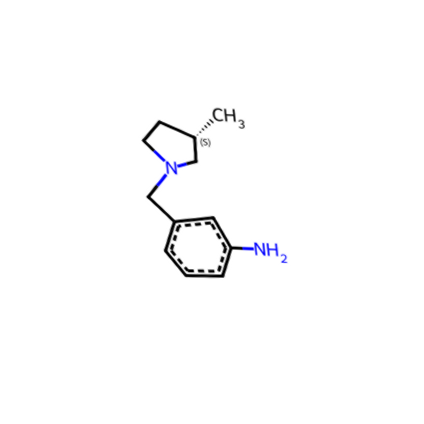 C[C@H]1CCN(Cc2cccc(N)c2)C1